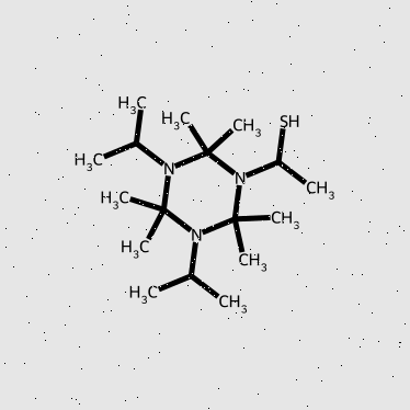 CC(C)N1C(C)(C)N(C(C)C)C(C)(C)N(C(C)S)C1(C)C